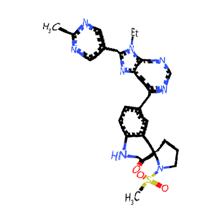 CCn1c(-c2cnc(C)nc2)nc2c(-c3ccc4c(c3)[C@@]3(CCCN3S(C)(=O)=O)C(=O)N4)ncnc21